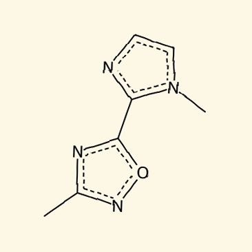 Cc1noc(-c2nccn2C)n1